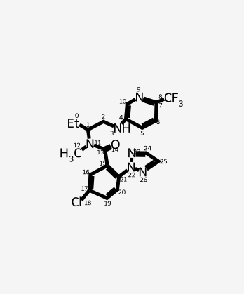 CCC(CNc1ccc(C(F)(F)F)nc1)N(C)C(=O)c1cc(Cl)ccc1-n1nccn1